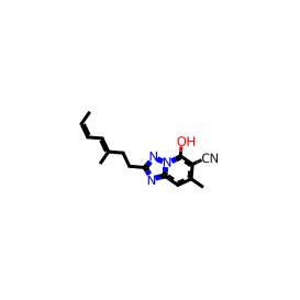 C/C=C\C=C(/C)CCc1nc2cc(C)c(C#N)c(O)n2n1